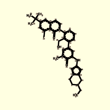 CCN1CCn2nc(Nc3cc(-c4ccnc(-n5ccc6cc(C(C)(C)C)cc(F)c6c5=O)c4CO)nn(C)c3=O)cc2C1